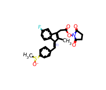 CC1=C(CC(=O)ON2C(=O)CCC2=O)c2cc(F)ccc2/C1=C\c1ccc([S+](C)[O-])cc1